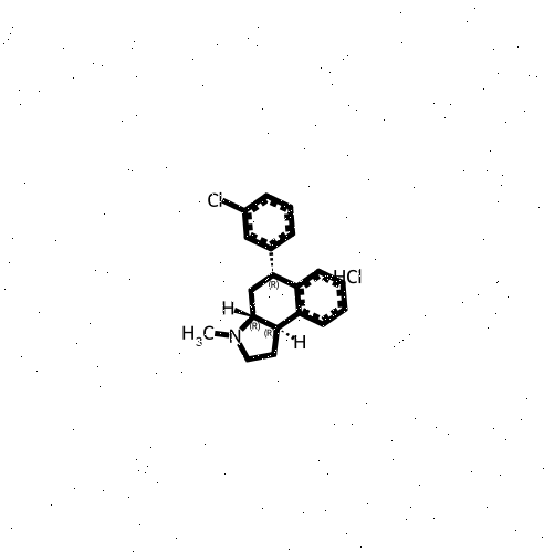 CN1CC[C@@H]2c3ccccc3[C@@H](c3cccc(Cl)c3)C[C@H]21.Cl